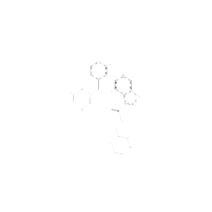 O=C(NCC1CCOCC1)c1n[nH]c2ccc(-c3cnccc3CN3CCOCC3)cc12